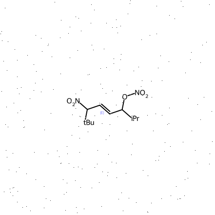 CC(C)C(/C=C/C([N+](=O)[O-])C(C)(C)C)O[N+](=O)[O-]